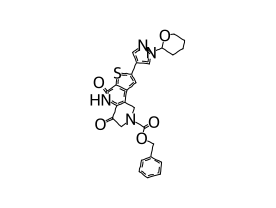 O=C1CN(C(=O)OCc2ccccc2)Cc2c1[nH]c(=O)c1sc(-c3cnn(C4CCCCO4)c3)cc21